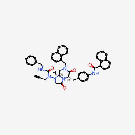 C#CCN(C(=O)NCc1ccccc1)N1CC(=O)N2[C@@H](Cc3ccc(NC(=O)c4cccc5ccccc45)cc3)C(=O)N(Cc3cccc4ccccc34)C[C@@H]21